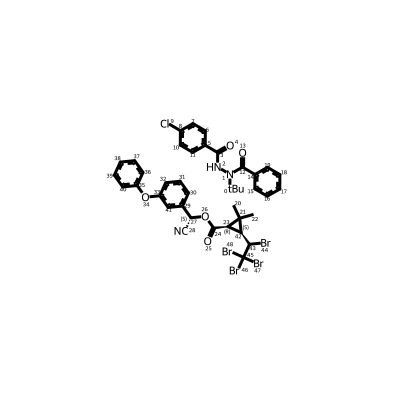 CC(C)(C)N(NC(=O)c1ccc(Cl)cc1)C(=O)c1ccccc1.CC1(C)[C@H](C(=O)O[C@H](C#N)c2cccc(Oc3ccccc3)c2)[C@@H]1C(Br)C(Br)(Br)Br